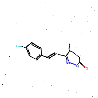 CC1CC(=O)NN=C1C=Cc1ccc(F)cc1